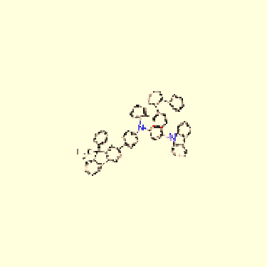 CC1(c2ccccc2)c2ccccc2-c2ccc(-c3ccc(N(c4ccc(-n5c6ccccc6c6ccccc65)cc4)c4ccccc4-c4ccccc4-c4ccccc4-c4ccccc4)cc3)cc21